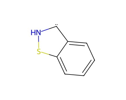 [C]1NSc2ccccc21